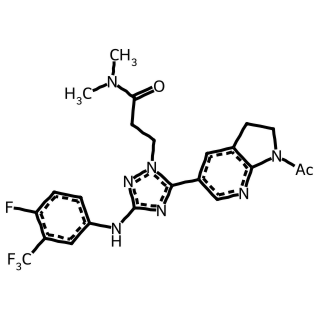 CC(=O)N1CCc2cc(-c3nc(Nc4ccc(F)c(C(F)(F)F)c4)nn3CCC(=O)N(C)C)cnc21